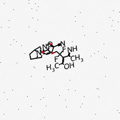 CC(=N)/C(=C(/C)O)C(F)(F)CCC(=O)N1CC2CCC(C1)N2c1ccc(C#N)cn1